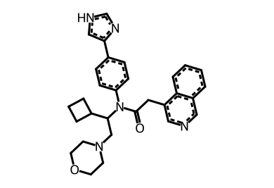 O=C(Cc1cncc2ccccc12)N(c1ccc(-c2c[nH]cn2)cc1)C(CN1CCOCC1)C1CCC1